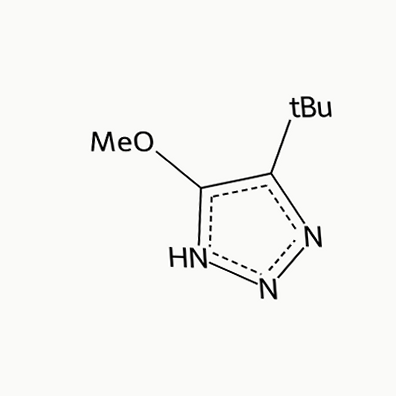 COc1[nH]nnc1C(C)(C)C